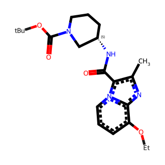 CCOc1cccn2c(C(=O)N[C@H]3CCCN(C(=O)OC(C)(C)C)C3)c(C)nc12